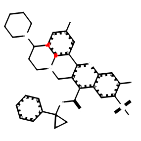 CCS(=O)(=O)c1cc2c(C(=O)NC3(c4ccccc4)CC3)c(CN3CCC(N4CCCCC4)CC3)c(-c3cccc(C(F)(F)F)c3)nc2cc1Cl